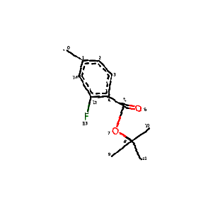 [CH2]c1ccc(C(=O)OC(C)(C)C)c(F)c1